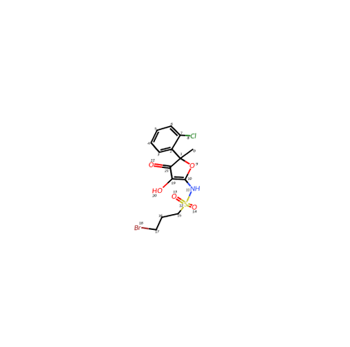 CC1(c2ccccc2Cl)OC(NS(=O)(=O)CCCBr)=C(O)C1=O